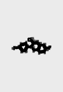 Fc1ccc(N2Cc3ccc(F)cc3C=C2Cl)cc1